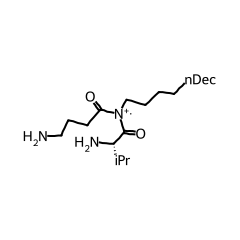 CCCCCCCCCCCCCC[N+](C(=O)CCCN)C(=O)[C@@H](N)C(C)C